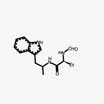 CC[C@H](NC=O)C(=O)NC(C)Cc1c[nH]c2ccccc12